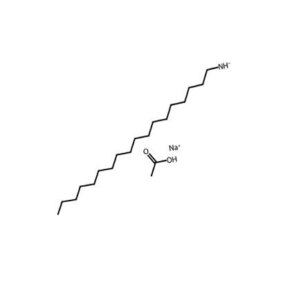 CC(=O)O.CCCCCCCCCCCCCCCCCC[NH-].[Na+]